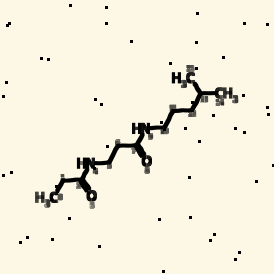 CCC(=O)NCCC(=O)NCCCC(C)C